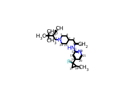 C#CC(CN1CCC(CC(=C)Nc2cc(C3(F)CC3C)ccn2)CC1)C(C)(C)C